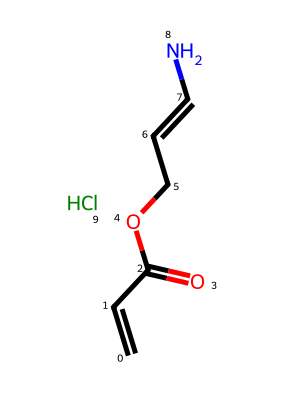 C=CC(=O)OCC=CN.Cl